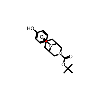 CC(C)(C)OC(=O)N1CC2CC(=O)CC(C1)N2c1ccc(O)cc1